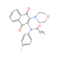 CC(=O)N(C1=C(N2CCOCC2)C(=O)c2ccccc2C1=O)c1ccc(F)cc1